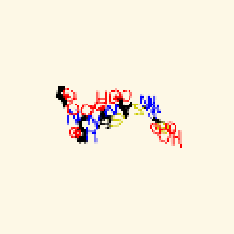 O=C(O)C1=C(CSc2nnnn2CCS(=O)(=O)O)CS[C@@H]2C(NC(=O)/C(=N\OCc3ccco3)c3ccco3)C(=O)N12